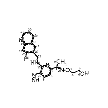 C/C(=N\OCCO)c1ccc(N=N)c(NCc2cc3cccnc3cc2F)n1